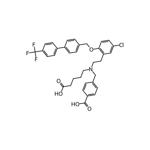 O=C(O)CCCCN(CCc1cc(Cl)ccc1OCc1ccc(-c2ccc(C(F)(F)F)cc2)cc1)Cc1ccc(C(=O)O)cc1